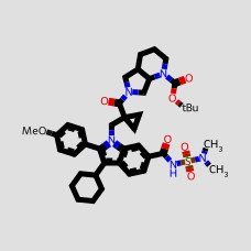 COc1ccc(-c2c(C3CCCCC3)c3ccc(C(=O)NS(=O)(=O)N(C)C)cc3n2CC2(C(=O)N3CC4CCCN(C(=O)OC(C)(C)C)C4C3)CC2)cc1